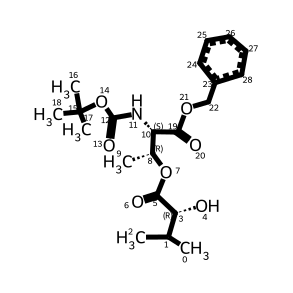 CC(C)[C@@H](O)C(=O)O[C@H](C)[C@H](NC(=O)OC(C)(C)C)C(=O)OCc1ccccc1